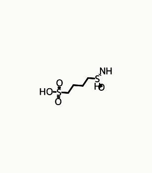 N=[SH](=O)CCCCS(=O)(=O)O